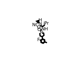 Cc1ccc(F)c(C2CCN(C(=O)NC(CC(C)C)C(=O)NC3(C#N)CC3)CC2)c1